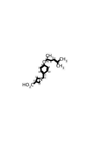 CC(C)=CC[C@@H](C)Oc1ccc(CN2CC(C(=O)O)C2)cc1